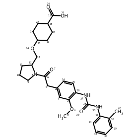 COc1cc(CC(=O)N2CCCC2COC2CCC(C(=O)O)CC2)ccc1NC(=O)Nc1ccccc1C